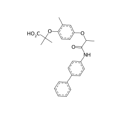 Cc1cc(OC(C)C(=O)Nc2ccc(-c3ccccc3)cc2)ccc1OC(C)(C)C(=O)O